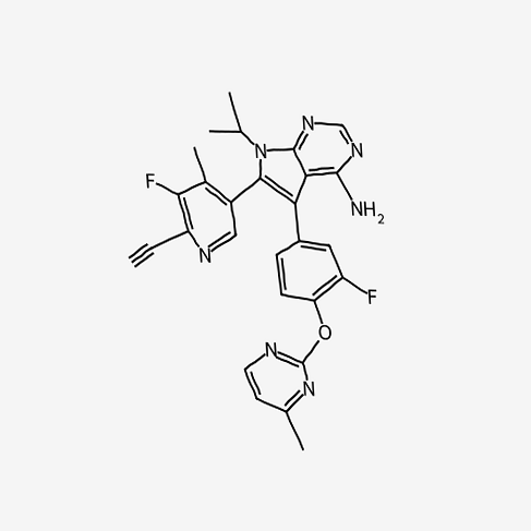 C#Cc1ncc(-c2c(-c3ccc(Oc4nccc(C)n4)c(F)c3)c3c(N)ncnc3n2C(C)C)c(C)c1F